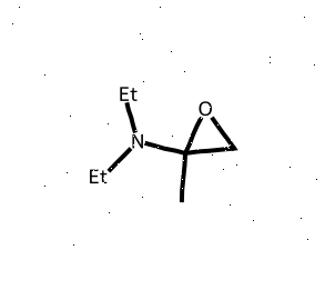 CCN(CC)C1(C)CO1